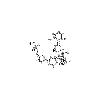 COc1cnc(-n2cnc(CCS(C)(=O)=O)n2)nc1[C@@]12CC[C@@H](c3cc(-c4c(F)cccc4F)nnc31)C2(C)C